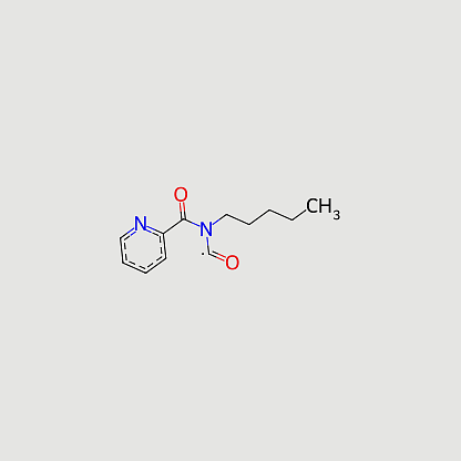 CCCCCN([C]=O)C(=O)c1ccccn1